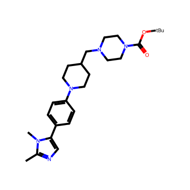 Cc1ncc(-c2ccc(N3CCC(CN4CCN(C(=O)OC(C)(C)C)CC4)CC3)cc2)n1C